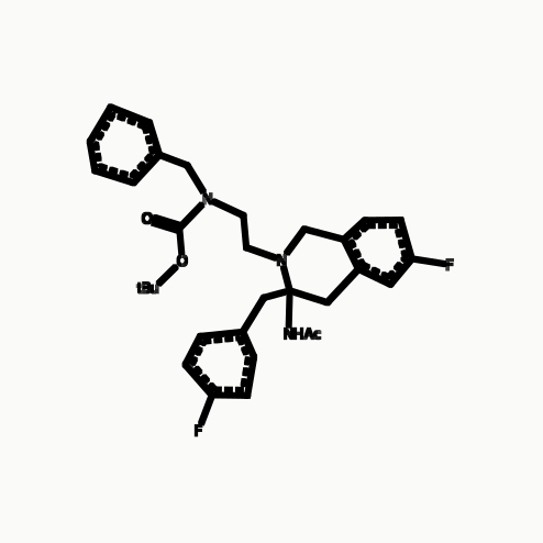 CC(=O)NC1(Cc2ccc(F)cc2)Cc2cc(F)ccc2CN1CCN(Cc1ccccc1)C(=O)OC(C)(C)C